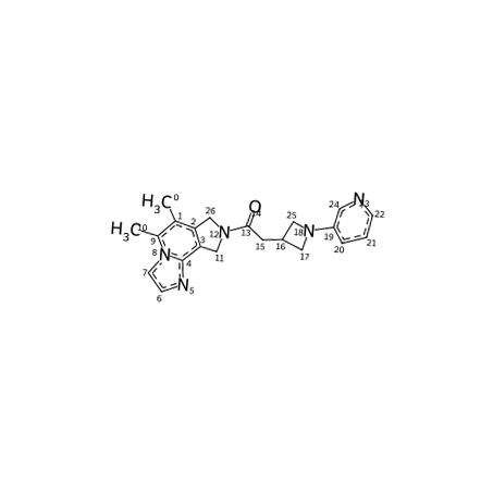 Cc1c2c(c3nccn3c1C)CN(C(=O)CC1CN(c3cccnc3)C1)C2